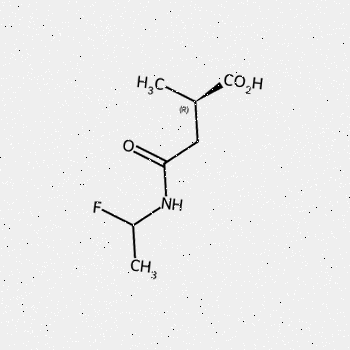 CC(F)NC(=O)C[C@@H](C)C(=O)O